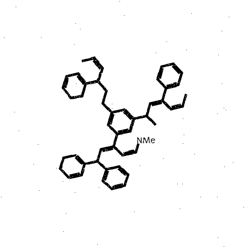 C/C=C\C(=C/C(C)c1cc(CCC(/C=C\C)C2=CC=CCC2)cc(C(/C=C\NC)=C/C(C2=CCCC=C2)c2ccccc2)c1)c1ccccc1